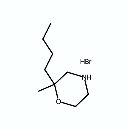 Br.CCCCC1(C)CNCCO1